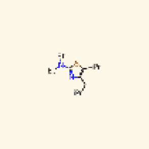 CCN(CC)c1nc(CC(C)C)c(C(C)C)s1